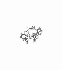 COc1cccc(CCCC#N)c1OCc1nc(-c2ccco2)oc1C